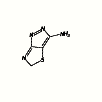 NC1=C2SCN=C2N=N1